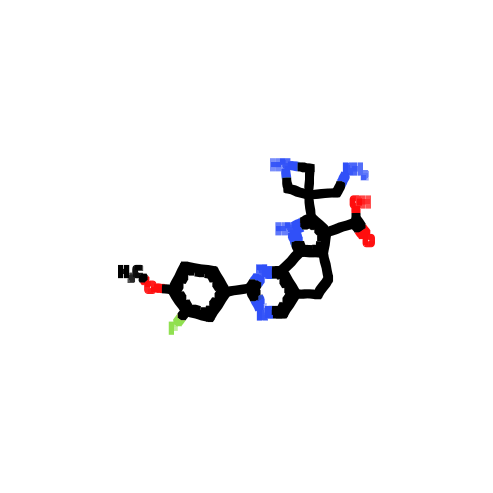 COc1ccc(-c2ncc3c(n2)-c2[nH]c(C4(CN)CNC4)c(C(=O)O)c2CC3)cc1F